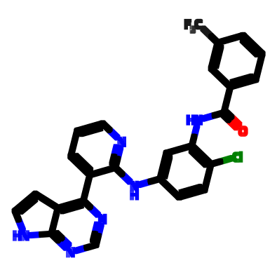 O=C(Nc1cc(Nc2ncccc2-c2ncnc3[nH]ccc23)ccc1Cl)c1cccc(C(F)(F)F)c1